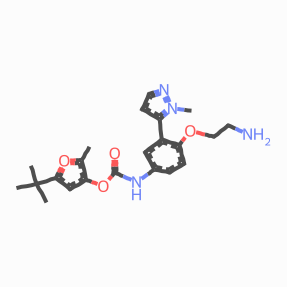 Cc1oc(C(C)(C)C)cc1OC(=O)Nc1ccc(OCCN)c(-c2ccnn2C)c1